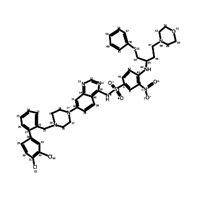 O=[N+]([O-])c1cc(S(=O)(=O)Nc2ncnc3cc(N4CCN(Cc5ccccc5-c5ccc(Cl)c(Cl)c5)CC4)ccc23)ccc1NC(CCN1CCOCC1)CSc1ccccc1